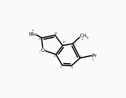 Cc1c(C(C)C)ccc2oc(C(C)(C)C)cc12